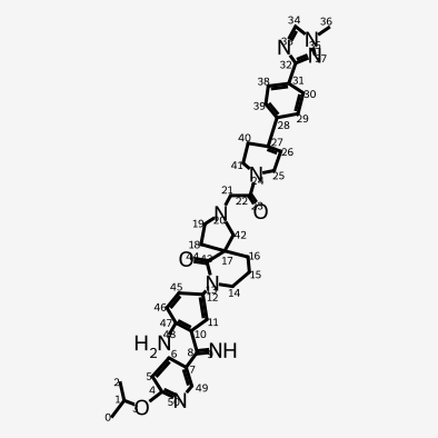 CC(C)Oc1ccc(C(=N)c2cc(N3CCCC4(CCN(CC(=O)N5CC=C(c6ccc(-c7ncn(C)n7)cc6)CC5)C4)C3=O)ccc2N)cn1